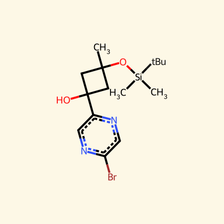 CC1(O[Si](C)(C)C(C)(C)C)CC(O)(c2cnc(Br)cn2)C1